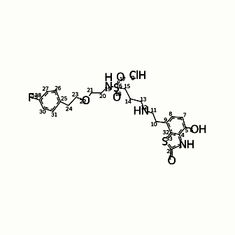 Cl.O=c1[nH]c2c(O)ccc(CCNCCCS(=O)(=O)NCCOCCc3ccc(F)cc3)c2s1